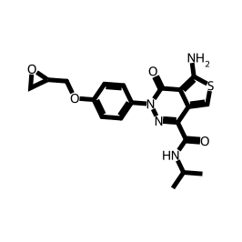 CC(C)NC(=O)c1nn(-c2ccc(OCC3CO3)cc2)c(=O)c2c(N)scc12